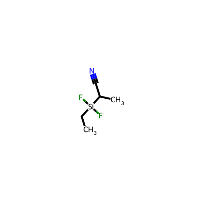 CC[Si](F)(F)C(C)C#N